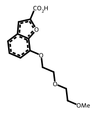 COCCOCCOc1cccc2cc(C(=O)O)oc12